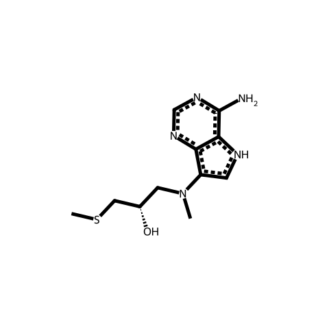 CSC[C@@H](O)CN(C)c1c[nH]c2c(N)ncnc12